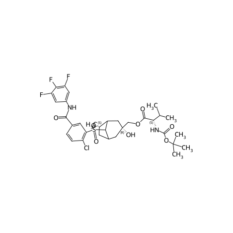 CC(C)[C@H](NC(=O)OC(C)(C)C)C(=O)OC[C@@]1(O)CC2C[C@H](C)C(C1)C2S(=O)(=O)c1cc(C(=O)Nc2cc(F)c(F)c(F)c2)ccc1Cl